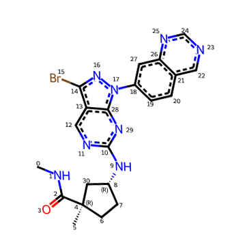 CNC(=O)[C@]1(C)CC[C@@H](Nc2ncc3c(Br)nn(-c4ccc5cncnc5c4)c3n2)C1